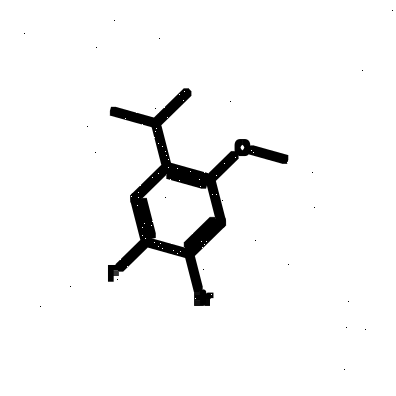 COc1cc(Br)c(F)cc1C(C)C